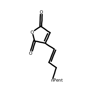 CCCCCC/C=C/C1=CC(=O)OC1=O